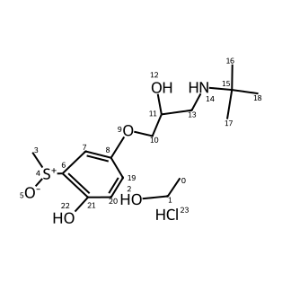 CCO.C[S+]([O-])c1cc(OCC(O)CNC(C)(C)C)ccc1O.Cl